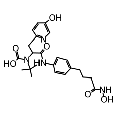 CC(C)(C)N(C(=O)O)C(Cc1ccc(O)cn1)C(=O)Nc1ccc(CCCC(=O)NO)cc1